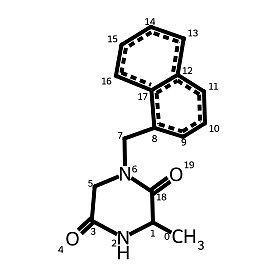 CC1NC(=O)CN(Cc2cccc3ccccc23)C1=O